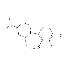 CC(C)N1CCN2c3ncc(Cl)c(F)c3OCCC2C1